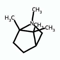 CN1CC2CCC1(C)C2(C)C